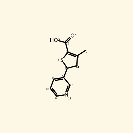 CC1=C(C(=O)O)SC(c2cccnc2)C1